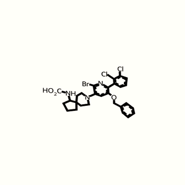 O=C(O)NC1CCCC12CCN(c1cc(OCc3ccccc3)c(-c3cccc(Cl)c3Cl)nc1Br)CC2